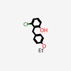 CCOc1ccc(Cc2c(O)cccc2Cl)cc1